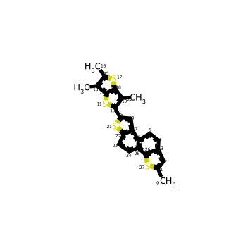 Cc1cc2ccc3c4cc(-c5sc6c(C)c(C)sc6c5C)sc4ccc3c2s1